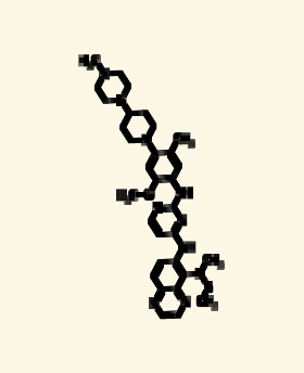 COc1cc(N2CCC(N3CCN(C)CC3)CC2)c(C)cc1Nc1nccc(Nc2ccc3nccnc3c2N(C)SC)n1